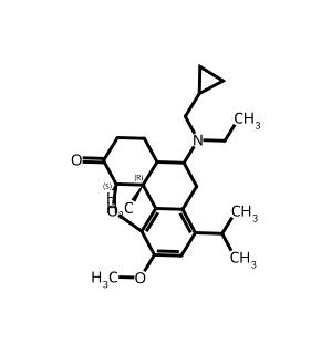 CCN(CC1CC1)C1Cc2c(C(C)C)cc(OC)c3c2[C@@]2(C)C1CCC(=O)[C@H]2O3